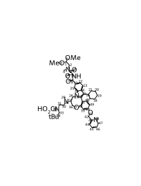 COC(CN(C)S(=O)(=O)NC(=O)c1ccc2c(C3CCCCC3)c3n(c2c1)C[C@@H](N(C)CCN(CC(C)(C)C)C(=O)O)COc1cc(OCc2ccccn2)ccc1-3)OC